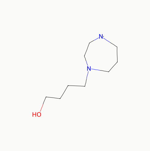 OCCCCN1CCC[N]CC1